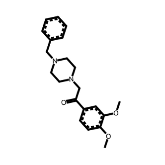 COc1ccc(C(=O)CN2CCN(Cc3ccccc3)CC2)cc1OC